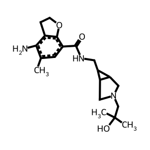 Cc1cc(C(=O)NCC2C3CN(CC(C)(C)O)CC23)c2c(c1N)CCO2